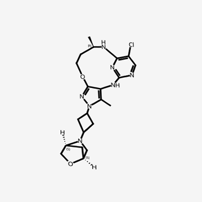 Cc1c2c(nn1C1CC(N3C[C@@H]4C[C@H]3CO4)C1)OCC[C@@H](C)Nc1nc(ncc1Cl)N2